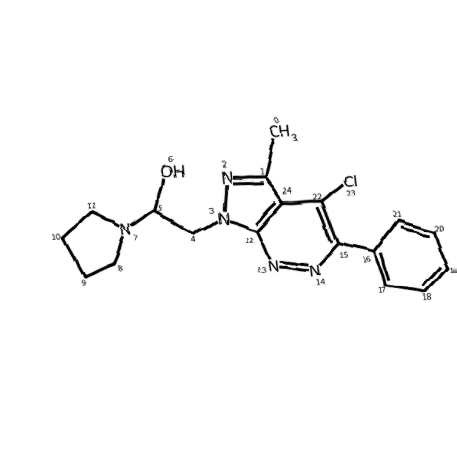 Cc1nn(CC(O)N2CCCC2)c2nnc(-c3ccccc3)c(Cl)c12